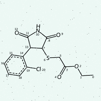 CCOC(=O)CSC1C(=O)NC(=O)C1c1ccccc1Cl